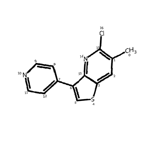 Cc1cc2scc(-c3ccncc3)c2nc1Cl